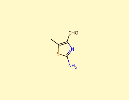 Cc1sc(N)nc1C=O